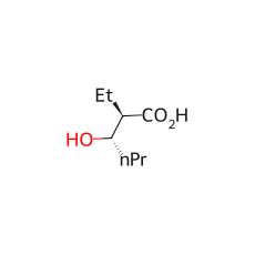 CCC[C@H](O)[C@@H](CC)C(=O)O